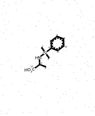 CC(N[Si](C)(C)c1ccccc1)C(=O)O